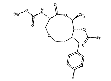 CC(C)C(=O)O[C@@H]1[C@@H](Cc2ccc(F)cc2)CCOC[C@H](NC(=O)OC(C)(C)C)C(=O)O[C@H]1C